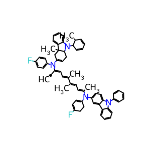 C#C\C(=C/C=C(C)/C(C)=C/C=C(\C)N(C1=CC=C(F)CC1)c1ccc2c(c1)c1ccccc1n2-c1ccccc1)N(C1=CCC2N(C3C=CC=CC3C)c3ccccc3C2(C)C1)c1ccc(F)cc1